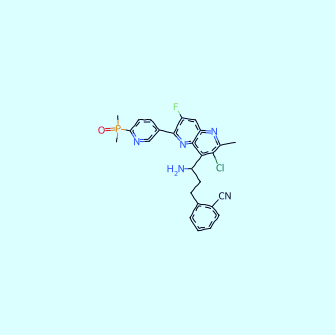 Cc1nc2cc(F)c(-c3ccc(P(C)(C)=O)nc3)nc2c(C(N)CCc2ccccc2C#N)c1Cl